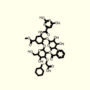 COC(=O)C1CC(NC(=O)c2cc(O)nc(O)n2)C(OC2OC(C)C(O)C(O)C2O)C(OC2OC(CO)C(O)C(O[C@@H](CC3CCCCC3)C(=O)O)C2OC(=O)c2ccccc2)C1